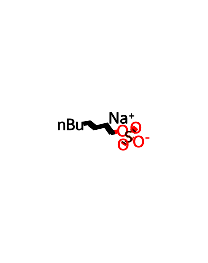 CCCC/C=C/C=C/OS(=O)(=O)[O-].[Na+]